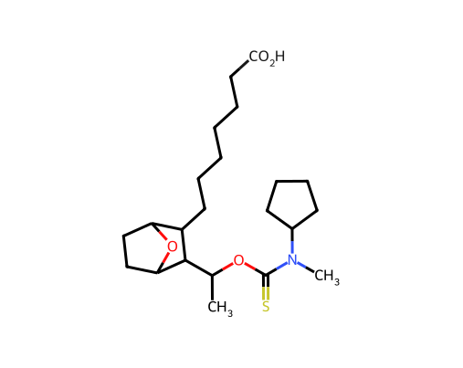 CC(OC(=S)N(C)C1CCCC1)C1C2CCC(O2)C1CCCCCCC(=O)O